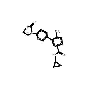 Cc1ccc(C(=O)NC2CC2)cc1-c1ccc(N2CCOC2=O)nc1